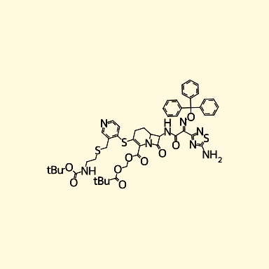 CC(C)(C)OC(=O)NCCSCc1cnccc1SC1=C(C(=O)OCOC(=O)C(C)(C)C)N2C(=O)C(NC(=O)C(=NOC(c3ccccc3)(c3ccccc3)c3ccccc3)c3nsc(N)n3)C2CC1